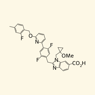 COC1(Cn2c(Cc3cc(F)c(-c4cccc(OCc5ccc(C)cc5F)n4)cc3F)nc3ccc(C(=O)O)cc32)CC1